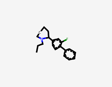 CCCN1CCCCC1c1ccc(-c2ccccc2)c(F)c1